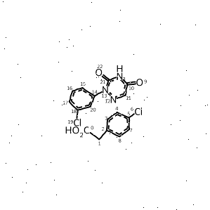 O=C(O)Cc1ccc(Cl)cc1.O=c1cnn(-c2cccc(Cl)c2)c(=O)[nH]1